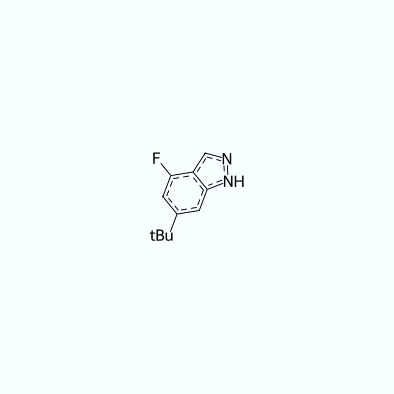 CC(C)(C)c1cc(F)c2cn[nH]c2c1